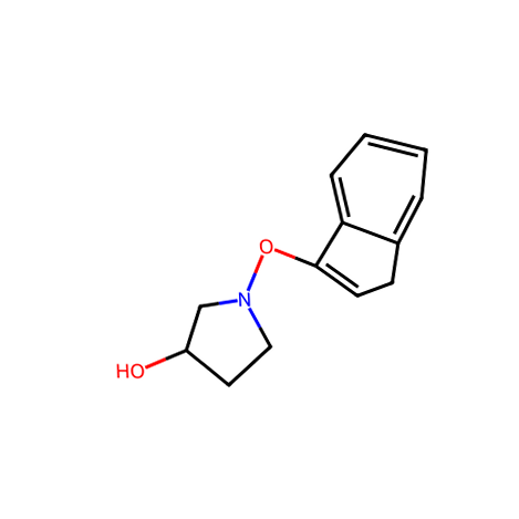 OC1CCN(OC2=CCc3ccccc32)C1